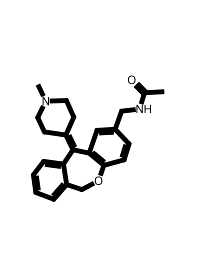 CC(=O)NCc1ccc2c(c1)C(=C1CCN(C)CC1)c1ccccc1CO2